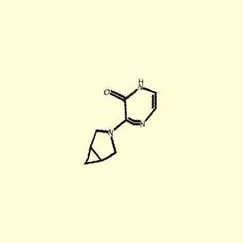 O=c1[nH][c]cnc1N1CC2CC2C1